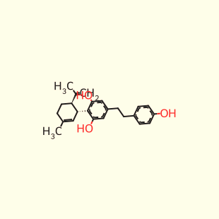 C=C(C)[C@@H]1CCC(C)=C[C@H]1c1c(O)cc(CCc2ccc(O)cc2)cc1O